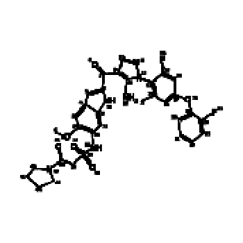 COc1cc2cc(C(=O)c3cnn(-c4c(C)cc(Oc5ccccc5F)cc4F)c3N)[nH]c2cc1NS(=O)(=O)CC(=O)N1CCCC1